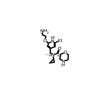 CCC1=CC([C@@H](C)N(C(=O)[C@H]2CNCCO2)C2CC2)=CC(OCCN)N1